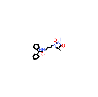 Cc1cn(CCCCNC(=O)C(c2ccccc2)c2ccccc2)c(=O)[nH]c1=O